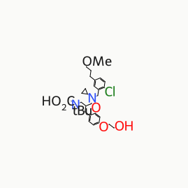 COCCCc1ccc(Cl)c(CN(C(=O)C(Cc2ccc(OCCO)cc2)CN(C(=O)O)C(C)(C)C)C2CC2)c1